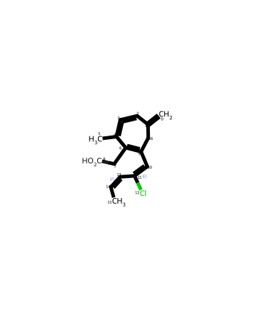 C=C1C=C=C(C)C(CC(=O)O)=C(/C=C(Cl)\C=C/C)C1